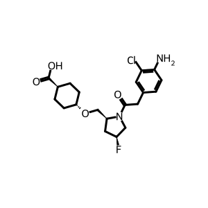 Nc1ccc(CC(=O)N2C[C@@H](F)C[C@H]2CO[C@H]2CC[C@H](C(=O)O)CC2)cc1Cl